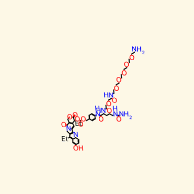 CCc1c2c(nc3ccc(O)cc13)-c1cc3c(c(=O)n1C2)COC(=O)[C@@]3(CC)OC(=O)OCc1ccc(NC(=O)C(CCCNC(N)=O)NC(=O)COCC(=O)NCCOCCOCCOCCOCCOCCN)cc1